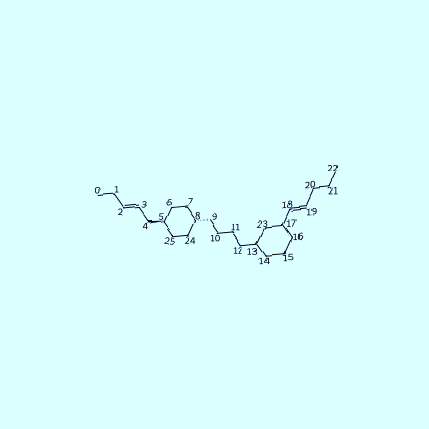 CCC=CC[C@H]1CC[C@H](CCCCC2CCCC(C=CCCC)C2)CC1